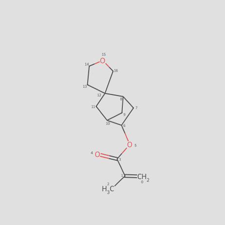 C=C(C)C(=O)OC1CC2CC1CC21CCOC1